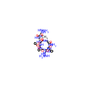 CC(=O)N1C[C@H](CC(=O)N[C@H]2CC(=O)NCCCC[C@@H](C(N)=O)NC(=O)[C@H](Cc3c[nH]c4ccccc34)NC(=O)[C@H](CCCNC(=N)N)NC(=O)[C@@H](Cc3ccccc3)NC(=O)[C@H](COCc3ccccc3)NC2=O)NC(=O)[C@@H]1CCCNC(=N)N